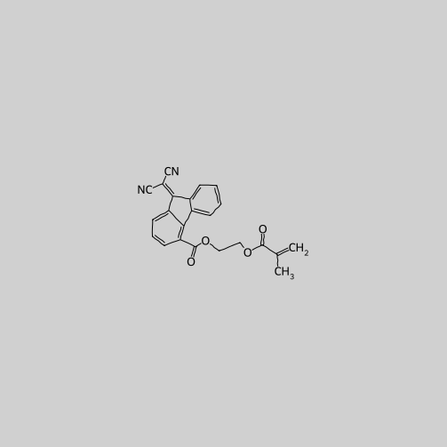 C=C(C)C(=O)OCCOC(=O)c1cccc2c1-c1ccccc1C2=C(C#N)C#N